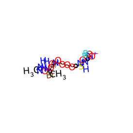 Cc1cnc(NC(=O)Nc2cc(Br)c(C)cc2OC[C@@H]2CN(C(=O)CCOCCOCCOc3ccc(C4=NC(C(=O)Nc5ccc([N+](=O)[O-])c(C(F)(F)F)c5)CS4)cc3)CCO2)cn1